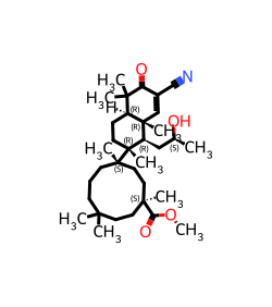 COC(=O)[C@@]1(C)CCC(C)(C)CCC[C@](C)([C@]2(C)CC[C@H]3C(C)(C)C(=O)C(C#N)=C[C@]3(C)[C@H]2C[C@H](C)O)CC1